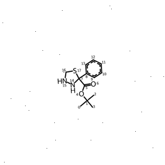 CC(C)(C)OC(=O)C1(c2ccccc2)NN[CH]S1